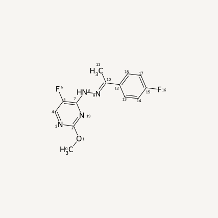 COc1ncc(F)c(N/N=C(\C)c2ccc(F)cc2)n1